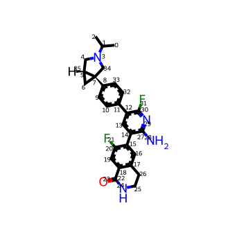 CC(C)N1C[C@H]2C[C@@]2(c2ccc(-c3cc(-c4cc5c(cc4F)C(=O)NCC5)c(N)nc3F)cc2)C1